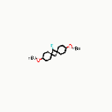 CCCCOC1CC[C@]2(CC1)C[C@@]1(CCC(OCCCC)CC1)C2F